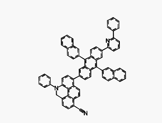 N#Cc1ccc2c3c1ccc1c(-c4ccc5c(-c6ccc7ccccc7c6)c6cc(-c7cccc(-c8ccccc8)n7)ccc6c(-c6ccc7ccccc7c6)c5c4)ccc(c13)N(c1ccccc1)C2